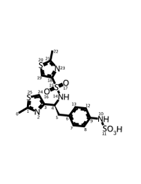 Cc1nc([C@H](Cc2ccc(NS(=O)(=O)O)cc2)NS(=O)(=O)c2csc(C)n2)cs1